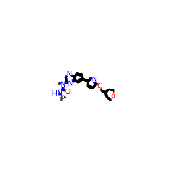 CC(C)NC(=O)N(C)c1cnc2ccc(-c3ccc(OCC4CCOCC4)nc3)cc2n1